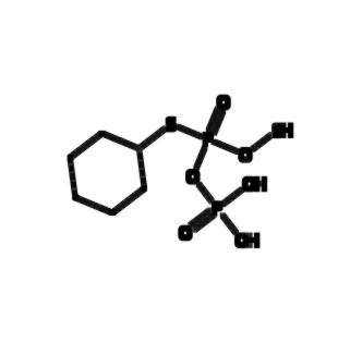 O=P(O)(O)OP(=O)(OS)SC1CCCCC1